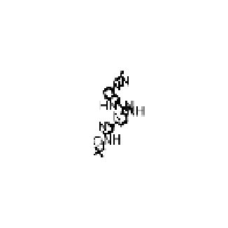 Cc1cn(-c2cccc3[nH]c(-c4n[nH]c5ccc(-c6cncc(NC(=O)CC(C)(C)C)c6)nc45)cc23)cn1